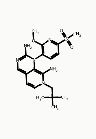 COc1nc(S(C)(=O)=O)ccc1N1C(N)=NC=C2C=CN(CC(C)(C)C)C(N)=C21